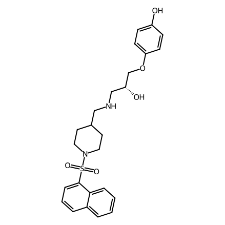 O=S(=O)(c1cccc2ccccc12)N1CCC(CNC[C@@H](O)COc2ccc(O)cc2)CC1